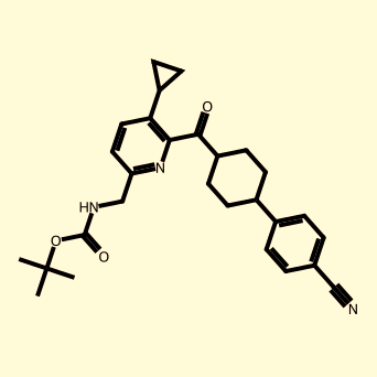 CC(C)(C)OC(=O)NCc1ccc(C2CC2)c(C(=O)C2CCC(c3ccc(C#N)cc3)CC2)n1